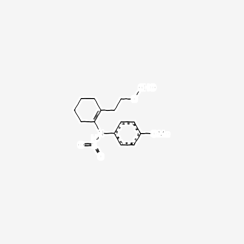 COc1ccc(N(C2=C(CCOC=O)CCCC2)[SH](=O)=O)cc1